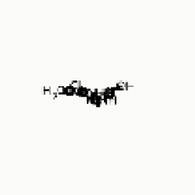 CN1CCN(c2ccc(Nc3ncc(F)c(NC4CCN(CCO)CC4)n3)cc2Cl)CC1